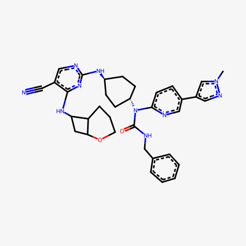 Cn1cc(-c2ccc(N(C(=O)NCc3ccccc3)[C@H]3CC[C@H](Nc4ncc(C#N)c(NC5CC6OCCCC56)n4)CC3)nc2)cn1